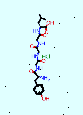 CC(C)C[C@H](NC(=O)CNC(=O)CNC(=O)CNC(=O)[C@@H](N)Cc1ccc(O)cc1)C(=O)O.Cl